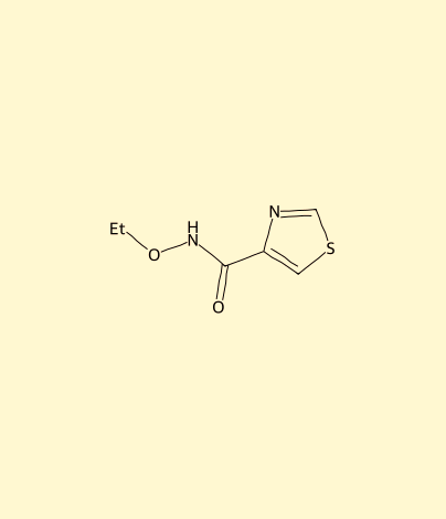 CCONC(=O)c1cscn1